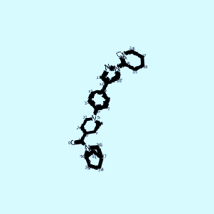 O=C(C1CCN(c2ccc(-c3cnn(C4CCCCO4)c3)cc2)CC1)N1CC2CCC1C2